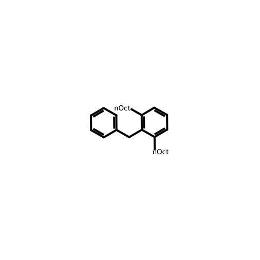 CCCCCCCCc1cccc(CCCCCCCC)c1Cc1ccccc1